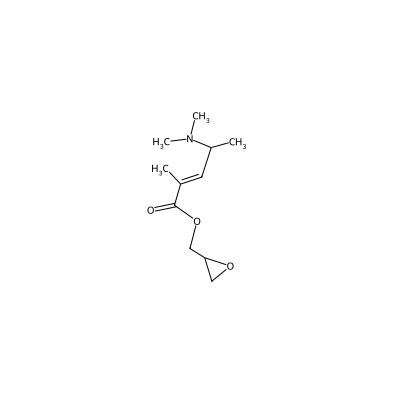 CC(=CC(C)N(C)C)C(=O)OCC1CO1